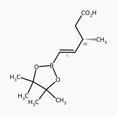 C[C@H](/C=C/B1OC(C)(C)C(C)(C)O1)CC(=O)O